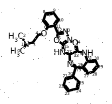 CN(C)CCOc1ccccc1-c1nnc(NC2N=C(c3ccccc3)c3ccccc3NC2=O)o1